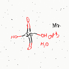 O.O.O=[Se](=O)(O)O.[Mn]